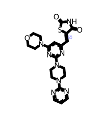 O=C1NC(=O)/C(=C/c2cc(N3CCOCC3)nc(N3CCN(c4ncccn4)CC3)n2)S1